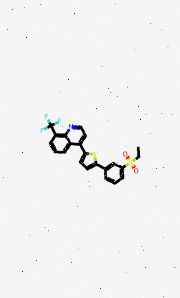 CCS(=O)(=O)c1cccc(-c2ccc(-c3ccnc4c(C(F)(F)F)cccc34)s2)c1